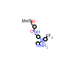 COC(=O)Cc1cccc(C(=O)NCc2ccc(-n3c(-c4cccnc4N)nc4ccc(C(F)(F)F)cc43)cc2)c1